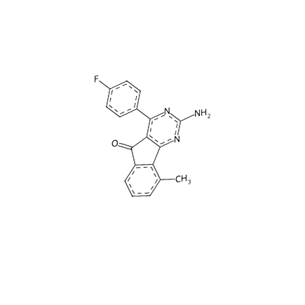 Cc1cccc2c1-c1nc(N)nc(-c3ccc(F)cc3)c1C2=O